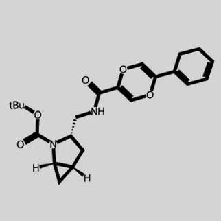 CC(C)(C)OC(=O)N1[C@H](CNC(=O)C2=COC(C3=CC=CCC3)=CO2)C[C@@H]2C[C@@H]21